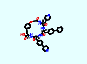 O=C1COc2ccc(cc2)C[C@@H](C(=O)O)NC(=O)[C@H](Cc2ccc(-c3ccncc3)cc2)NC(=O)[C@@H](Cc2ccc(-c3ccccc3)cc2)NC(=O)[C@H](Cc2ccncc2)N1